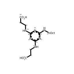 CCCCCCCCNc1nc(NCCC(=O)O)nc(NCCC(=O)O)n1